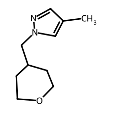 Cc1cnn(CC2CCOCC2)c1